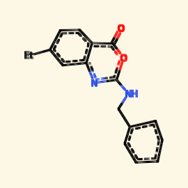 CCc1ccc2c(=O)oc(NCc3ccccc3)nc2c1